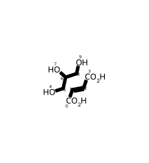 O=C(O)/C=C/C(=O)O.OCC(O)CO